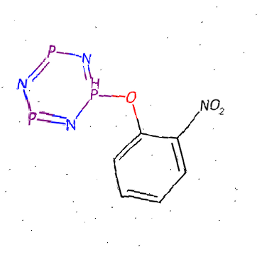 O=[N+]([O-])c1ccccc1O[PH]1=NP=NP=N1